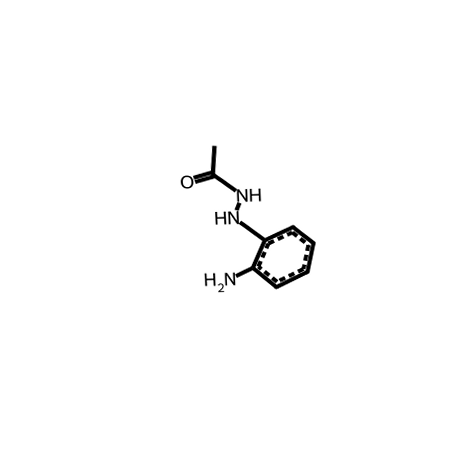 CC(=O)NNc1ccccc1N